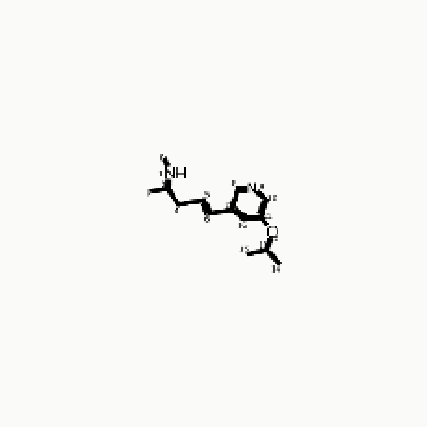 CNC(C)CC=Cc1cncc(OC(C)C)c1